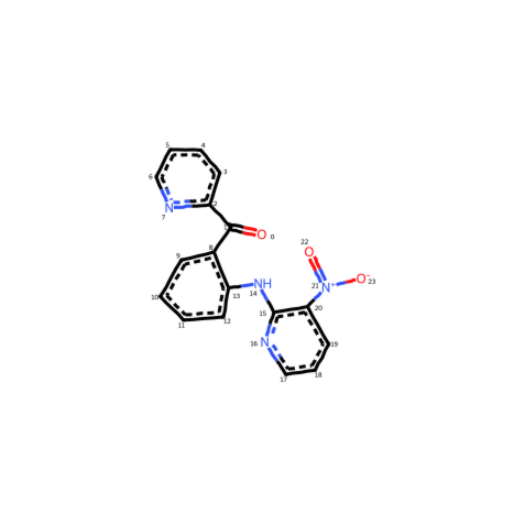 O=C(c1ccccn1)c1ccccc1Nc1ncccc1[N+](=O)[O-]